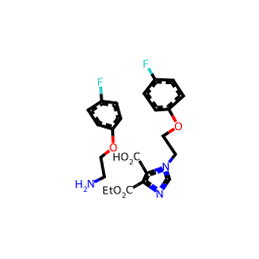 CCOC(=O)c1ncn(CCOc2ccc(F)cc2)c1C(=O)O.NCCOc1ccc(F)cc1